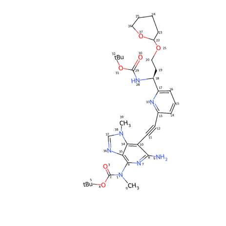 CN(C(=O)OC(C)(C)C)c1nc(N)c(C#Cc2cccc([C@H](CCOC3CCCCO3)NC(=O)OC(C)(C)C)n2)c2c1ncn2C